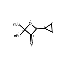 CCCCC1(CCCC)OC(C2CC2)C1=O